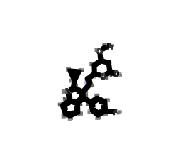 CC(C)OC1CC(=O)OC(/C=C/c2c(C3CC3)nc3ccccc3c2-c2ccc(F)cc2)C1